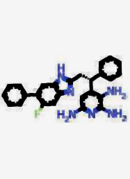 Nc1cc([C@H](Cc2nc3cc(F)c(-c4ccccc4)cc3[nH]2)c2ccccc2)c(N)c(N)n1